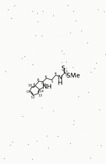 CSC(=S)NCCCC1Cc2ccccc2N1